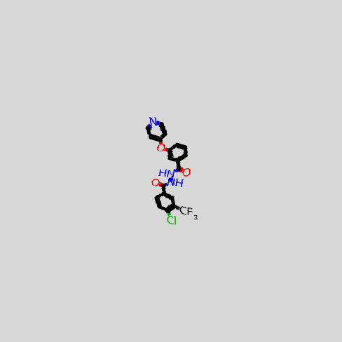 O=C(NNC(=O)c1ccc(Cl)c(C(F)(F)F)c1)c1cccc(Oc2ccncc2)c1